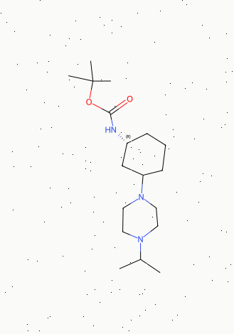 CC(C)N1CCN(C2CCC[C@@H](NC(=O)OC(C)(C)C)C2)CC1